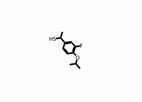 CC(C)Oc1ccc(C(C)S)cc1F